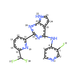 Fc1cnccc1Nc1nc(-c2cccc(C(F)F)n2)nc2[nH]ccc12